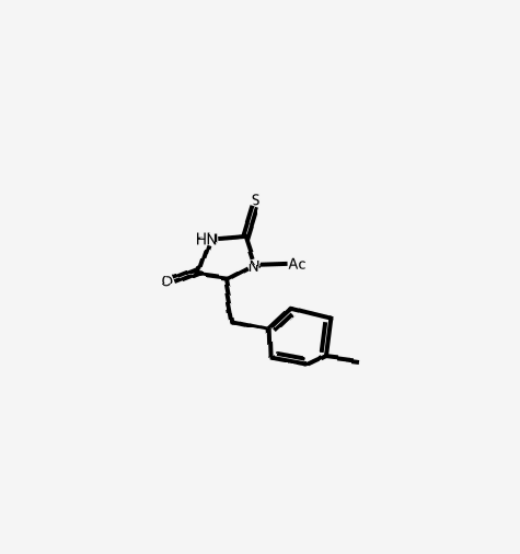 CC(=O)N1C(=S)NC(=O)C1Cc1ccc(C)cc1